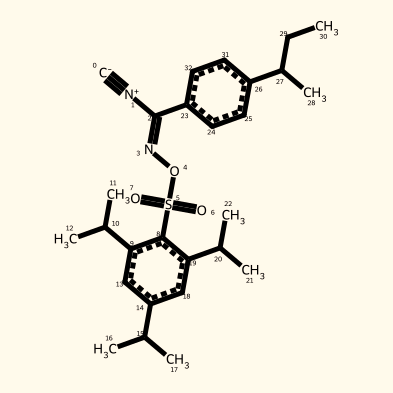 [C-]#[N+]/C(=N/OS(=O)(=O)c1c(C(C)C)cc(C(C)C)cc1C(C)C)c1ccc(C(C)CC)cc1